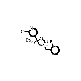 CCOC(CNCc1ccccc1F)(OCC)c1ccnc(Cl)c1